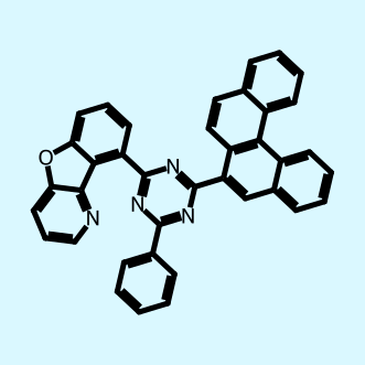 c1ccc(-c2nc(-c3cc4ccccc4c4c3ccc3ccccc34)nc(-c3cccc4oc5cccnc5c34)n2)cc1